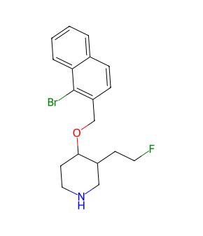 FCCC1CNCCC1OCc1ccc2ccccc2c1Br